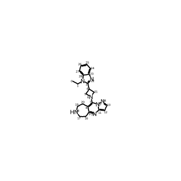 CCn1c(C2CN(c3c4c(nc5ccnn35)CCNCC4)C2)nc2ccccc21